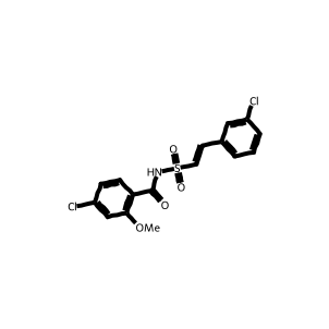 COc1cc(Cl)ccc1C(=O)NS(=O)(=O)/C=C/c1cccc(Cl)c1